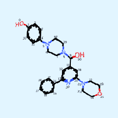 Oc1ccc(N2CCN(C(O)c3cc(-c4ccccc4)nc(N4CCOCC4)c3)CC2)cc1